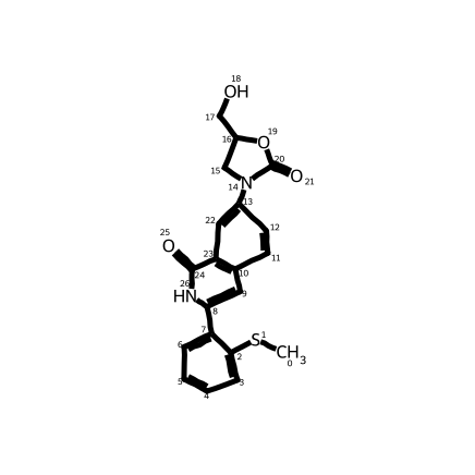 CSc1ccccc1-c1cc2ccc(N3CC(CO)OC3=O)cc2c(=O)[nH]1